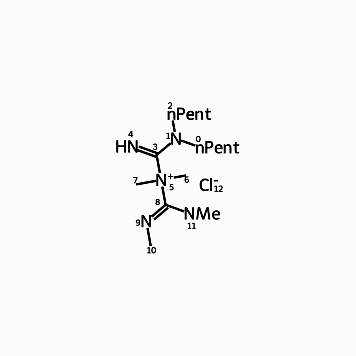 CCCCCN(CCCCC)C(=N)[N+](C)(C)C(=NC)NC.[Cl-]